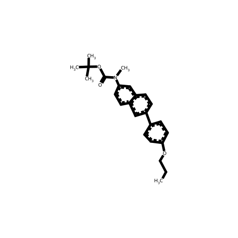 CCCOc1ccc(-c2ccc3cc(N(C)C(=O)OC(C)(C)C)ccc3c2)cc1